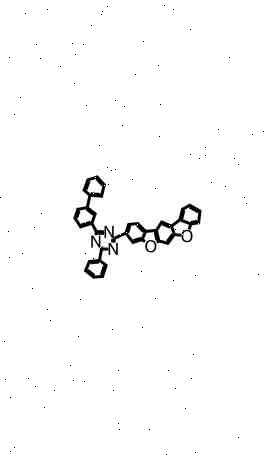 c1ccc(-c2cccc(-c3nc(-c4ccccc4)nc(-c4ccc5c(c4)oc4cc6oc7ccccc7c6cc45)n3)c2)cc1